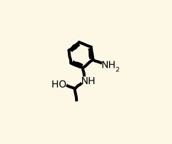 CC(O)Nc1ccccc1N